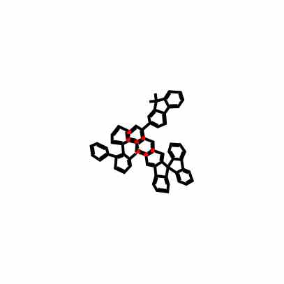 CC1(C)c2ccccc2-c2ccc(-c3cccc(N(c4ccc5c(c4)-c4ccccc4C54c5ccccc5-c5ccccc54)c4cccc(-c5ccccc5)c4-c4ccccc4-c4ccccc4)c3)cc21